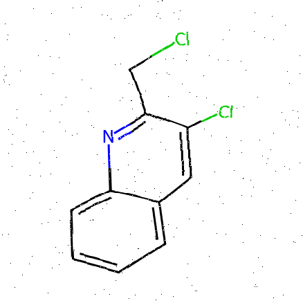 ClCc1nc2ccccc2cc1Cl